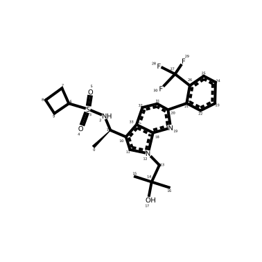 C[C@@H](NS(=O)(=O)C1CCC1)c1cn(CC(C)(C)O)c2nc(-c3ccccc3C(F)(F)F)ccc12